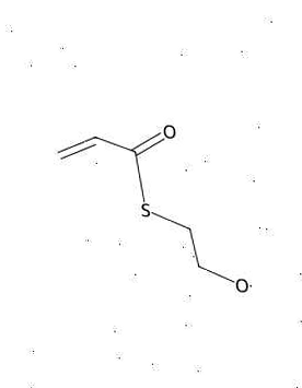 C=CC(=O)SCC[O]